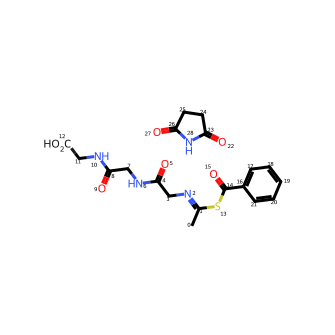 CC(=NCC(=O)NCC(=O)NCC(=O)O)SC(=O)c1ccccc1.O=C1CCC(=O)N1